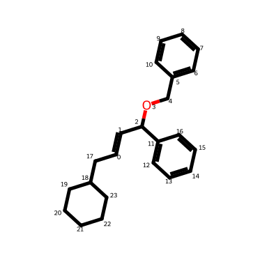 C(=CC(OCc1ccccc1)c1ccccc1)CC1CCCCC1